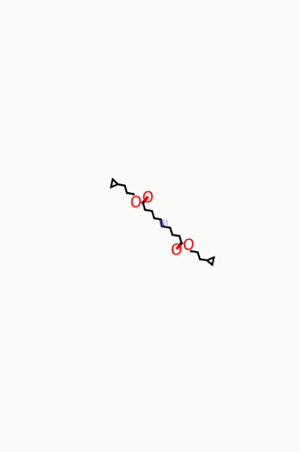 O=C(CCC/C=C/CCCC(=O)OCCCC1CC1)OCCCC1CC1